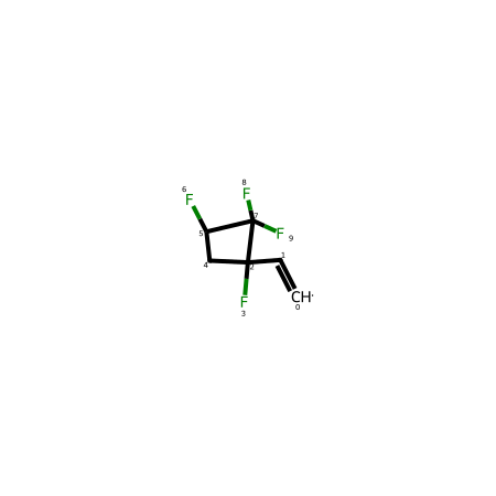 [CH]=CC1(F)CC(F)C1(F)F